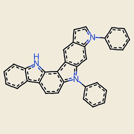 c1ccc(-n2ccc3cc4c5c6[nH]c7ccccc7c6ccc5n(-c5ccccc5)c4cc32)cc1